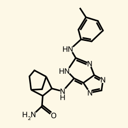 Cc1cccc(Nc2nc3ncnc-3c(NC3C4CCC(C4)C3C(N)=O)[nH]2)c1